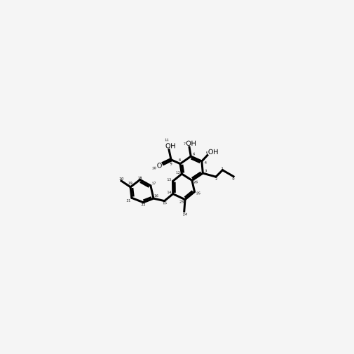 CCCc1c(O)c(O)c(C(=O)O)c2cc(Cc3ccc(C)cc3)c(C)cc12